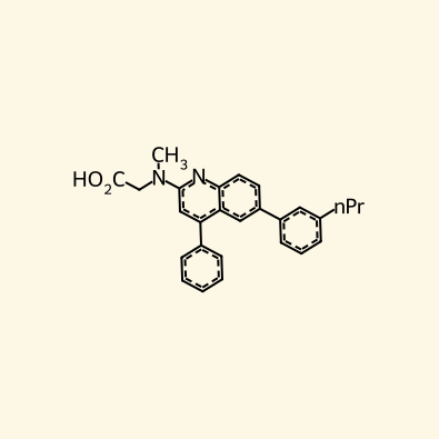 CCCc1cccc(-c2ccc3nc(N(C)CC(=O)O)cc(-c4ccccc4)c3c2)c1